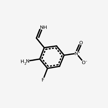 N=Cc1cc([N+](=O)[O-])cc(F)c1N